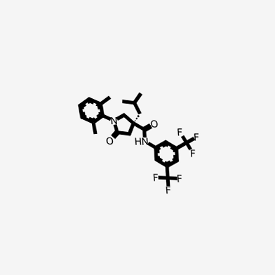 Cc1cccc(C)c1N1C[C@@](CC(C)C)(C(=O)Nc2cc(C(F)(F)F)cc(C(F)(F)F)c2)CC1=O